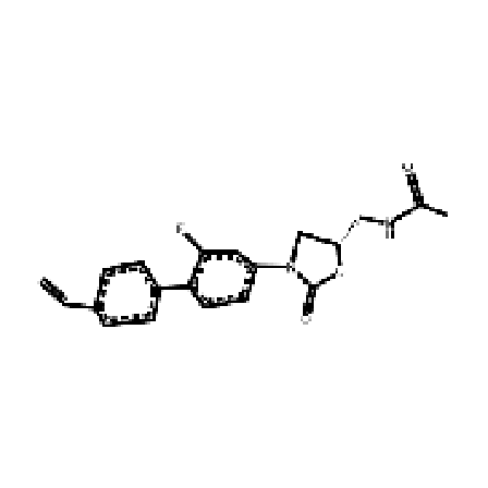 C=Cc1ccc(-c2ccc(N3C[C@H](CNC(C)=O)OC3=O)cc2F)cc1